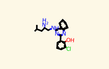 CC(C)CC(N)CNc1nc(-c2cccc(Cl)c2O)nc2ccccc12